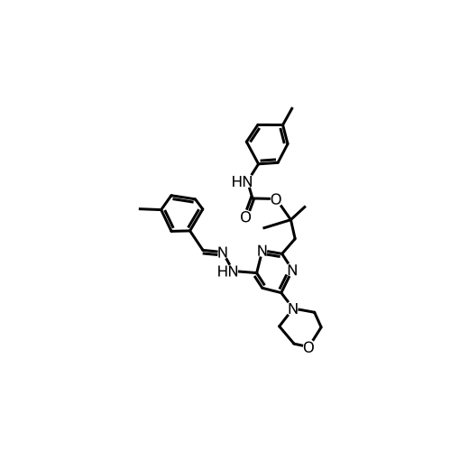 Cc1ccc(NC(=O)OC(C)(C)Cc2nc(NN=Cc3cccc(C)c3)cc(N3CCOCC3)n2)cc1